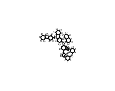 c1ccc2c(c1)Sc1ccccc1C21c2ccccc2-c2ccc(N(c3ccc4c(c3)c3ccccc3n4-c3ccc4c(c3)oc3ccccc34)c3cccc4ccccc34)c3cccc1c23